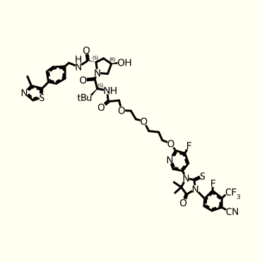 Cc1ncsc1-c1ccc(CNC(=O)[C@@H]2C[C@@H](O)CN2C(=O)[C@@H](NC(=O)COCCOCCCOc2ncc(N3C(=S)N(c4ccc(C#N)c(C(F)(F)F)c4F)C(=O)C3(C)C)cc2F)C(C)(C)C)cc1